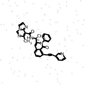 Cc1ncn2ccnc2c1C(=O)N[C@@H](C)c1cc2cccc(C#Cc3cccnc3)c2c(=O)n1-c1ccccc1